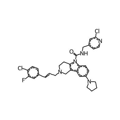 O=C(NCc1ccnc(Cl)c1)n1c2c(c3cc(N4CCCC4)ccc31)CN(CC=Cc1ccc(Cl)c(F)c1)CC2